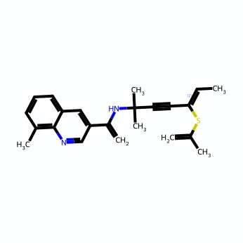 C=C(C)S/C(C#CC(C)(C)NC(=C)c1cnc2c(C)cccc2c1)=C\C